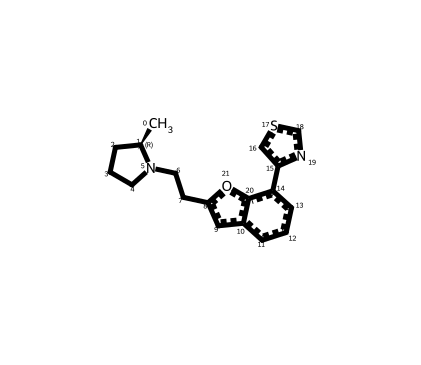 C[C@@H]1CCCN1CCc1cc2cccc(-c3cscn3)c2o1